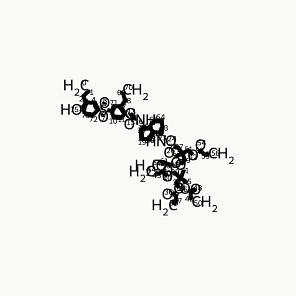 C=CCc1cc(S(=O)(=O)c2ccc(OC(=O)Nc3cccc4c(NOC(=O)CC(COCC(COC(=O)C=C)(COC(=O)C=C)COC(=O)C=C)(COC(=O)C=C)COC(=O)C=C)cccc34)c(CC=C)c2)ccc1O